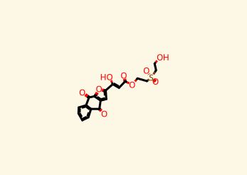 O=C(/C=C(\O)c1cc2c(o1)C(=O)c1ccccc1C2=O)OCCS(=O)(=O)CCO